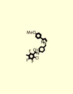 COc1ccc(-c2ccn(CC3CCC(NC(=O)c4c(F)c(C)c(F)c(F)c4Cl)CC3)n2)cc1